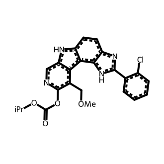 COCc1c(OC(=O)OC(C)C)ncc2[nH]c3ccc4nc(-c5ccccc5Cl)[nH]c4c3c12